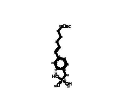 CCCCCCCCCCCCCC=Cc1ccc(CP(=O)(O)O)cc1